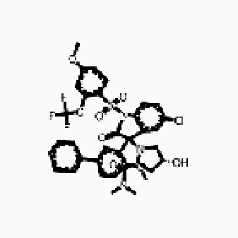 COc1ccc(S(=O)(=O)N2C(=O)C(c3cc(-c4ccccc4)ccc3OC)(N3C[C@H](O)C[C@H]3C(=O)N(C)C)c3cc(Cl)ccc32)c(OC(F)(F)F)c1